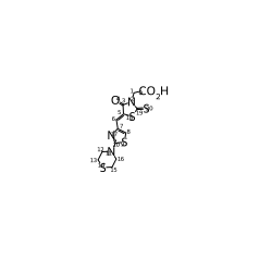 O=C(O)CN1C(=O)/C(=C/c2csc(N3CCSCC3)n2)SC1=S